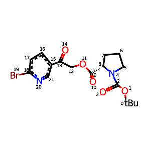 CC(C)(C)OC(=O)N1CCC[C@H]1C(=O)OCC(=O)c1ccc(Br)nc1